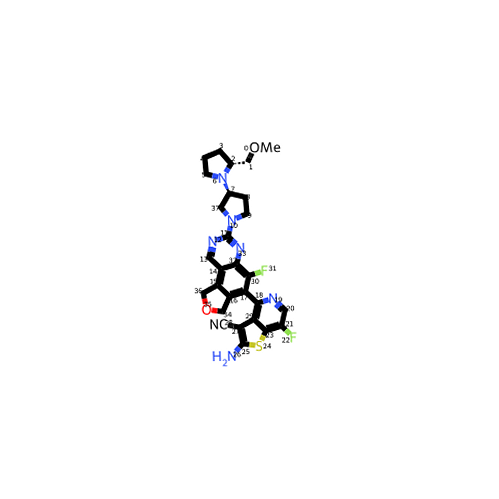 COC[C@H]1CCCN1[C@H]1CCN(c2ncc3c4c(c(-c5ncc(F)c6sc(N)c(C#N)c56)c(F)c3n2)COC4)C1